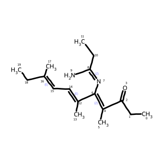 CCC(=O)/C(C)=C(\N=C(/N)CC)C(/C)=C/C=C(\C)CC